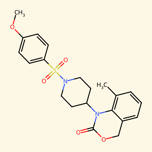 COc1ccc(S(=O)(=O)N2CCC(N3C(=O)OCc4cccc(C)c43)CC2)cc1